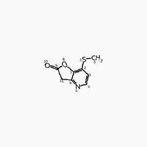 CSc1ccnc2c1OC(=O)C2